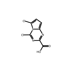 O=C(O)c1nc(Cl)n2c(Cl)ccc2n1